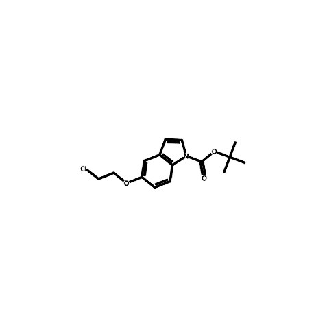 CC(C)(C)OC(=O)n1ccc2cc(OCCCl)ccc21